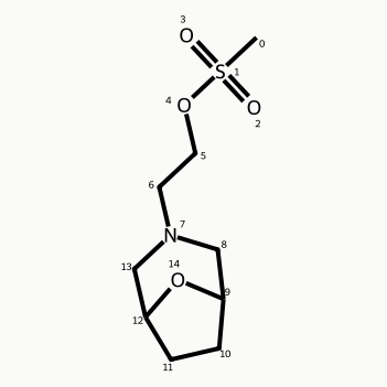 CS(=O)(=O)OCCN1CC2CCC(C1)O2